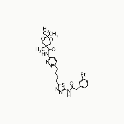 CCc1cccc(CC(=O)Nc2nnc(CCCCc3ccc(NC(=O)C4(C)COC(C)(C)OC4)nn3)s2)c1